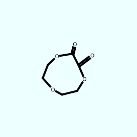 O=C1OCCOCCOC1=O